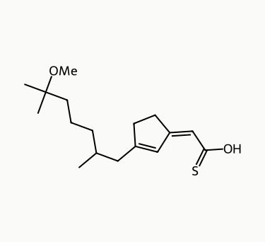 COC(C)(C)CCCC(C)CC1=CC(=CC(O)=S)CC1